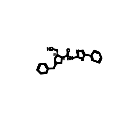 O=C(Nc1ncc(-c2ccccc2)s1)[C@H]1CN(Cc2ccccc2)C[C@@H]1CO